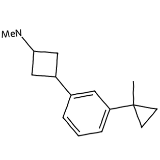 CNC1CC(c2cccc(C3(C)CC3)c2)C1